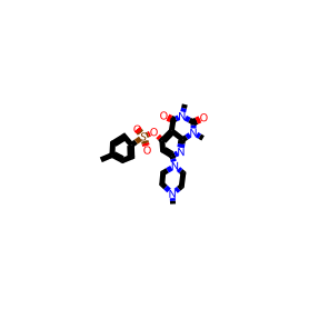 Cc1ccc(S(=O)(=O)Oc2cc(N3CCN(C)CC3)nc3c2c(=O)n(C)c(=O)n3C)cc1